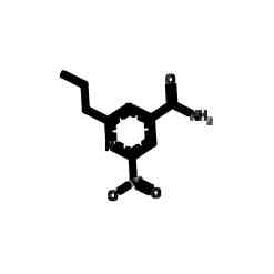 CCCc1cc(C(N)=O)cc([N+](=O)[O-])n1